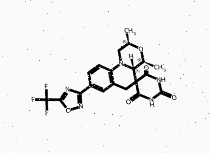 C[C@@H]1CN2c3ccc(-c4noc(C(F)(F)F)n4)cc3CC3(C(=O)NC(=O)NC3=O)[C@H]2[C@H](C)O1